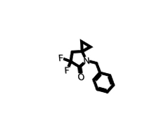 O=C1N(Cc2ccccc2)C2(CC2)CC1(F)F